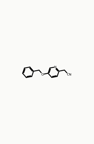 N#CCc1ccc(OCc2ccccc2)cn1